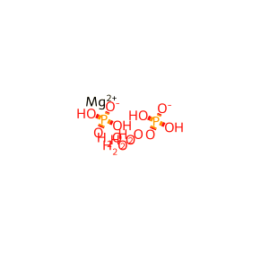 O.O.O.O.O=P([O-])(O)O.O=P([O-])(O)O.[Mg+2]